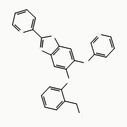 OCc1ccccc1Oc1cc2nc(-c3ccccn3)[nH]c2cc1Oc1cccnc1